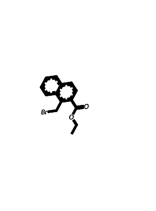 CCOC(=O)c1ccc2ccccc2c1CBr